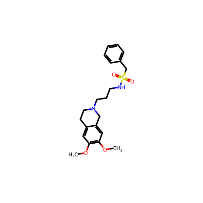 COc1cc2c(cc1OC)CN(CCCNS(=O)(=O)Cc1ccccc1)CC2